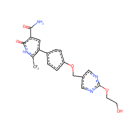 NC(=O)c1cc(-c2ccc(OCc3cnc(OCCO)nc3)cc2)c(C(F)(F)F)[nH]c1=O